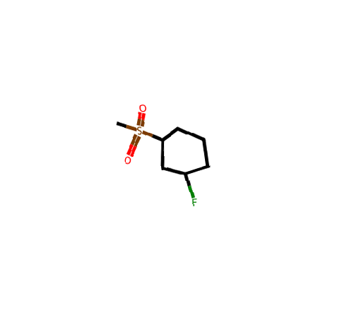 CS(=O)(=O)C1CCCC(F)C1